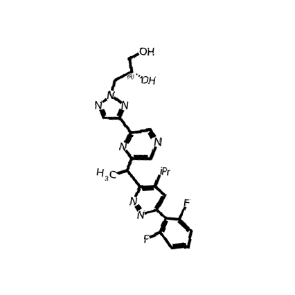 CC(C)c1cc(-c2c(F)cccc2F)nnc1C(C)c1cncc(-c2cnn(C[C@@H](O)CO)n2)n1